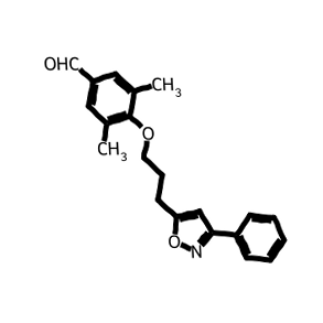 Cc1cc(C=O)cc(C)c1OCCCc1cc(-c2ccccc2)no1